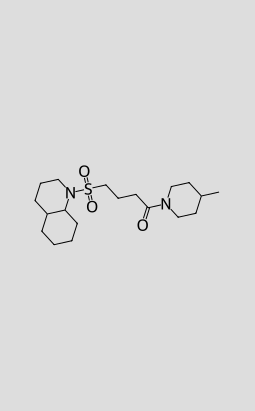 CC1CCN(C(=O)CCCS(=O)(=O)N2CCCC3CCCCC32)CC1